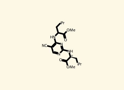 COC(=O)C(CC(C)C)Nc1nc(N[C@@H](CC(C)C)C(=O)OC)ncc1C#N